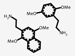 COc1cc(CCN)c(OC)c2ccccc12.COc1ccc(OC)c(CCN)c1